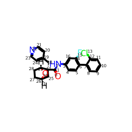 O=C(Nc1ccc(-c2ccccc2Cl)c(F)c1)[C@@]1(Cc2ccncc2)C[C@@H]2CC[C@H]1O2